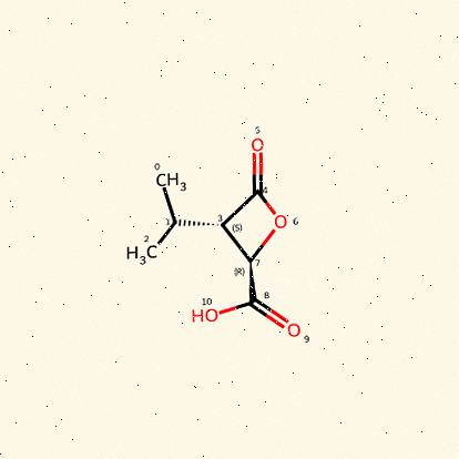 CC(C)[C@@H]1C(=O)O[C@H]1C(=O)O